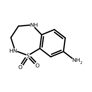 Nc1ccc2c(c1)S(=O)(=O)NCCN2